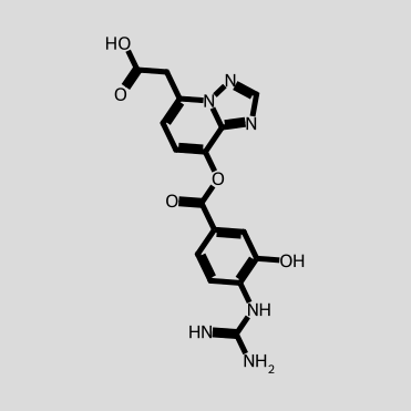 N=C(N)Nc1ccc(C(=O)Oc2ccc(CC(=O)O)n3ncnc23)cc1O